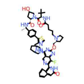 Cc1ncsc1-c1ccc([C@H](C)NC(=O)[C@@H]2C[C@@H](O)CN2C(=O)[C@@H](NC(=O)CCCCN2CCC[C@H]2COc2nc(N3CC4CCC(C3)N4)c3cnc(-c4[nH]c(=O)cc5ccccc45)c(F)c3n2)C(C)(C)C)cc1